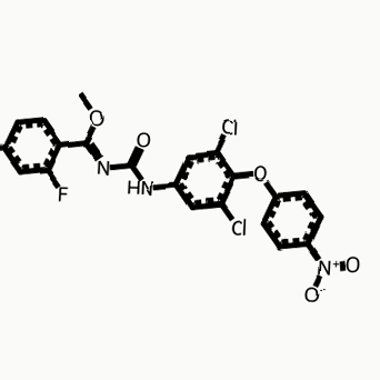 CO/C(=N\C(=O)Nc1cc(Cl)c(Oc2ccc([N+](=O)[O-])cc2)c(Cl)c1)c1ccccc1F